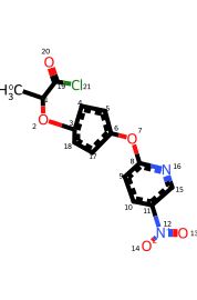 CC(Oc1ccc(Oc2ccc([N+](=O)[O-])cn2)cc1)C(=O)Cl